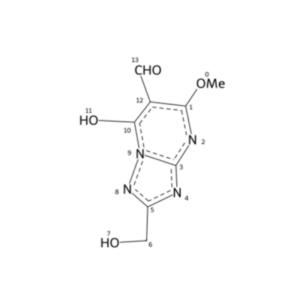 COc1nc2nc(CO)nn2c(O)c1C=O